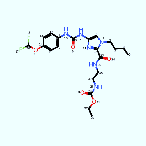 CCCCn1cc(NC(=O)Nc2ccc(OC(F)F)cc2)nc1C(=O)NCCNC(=O)OCC